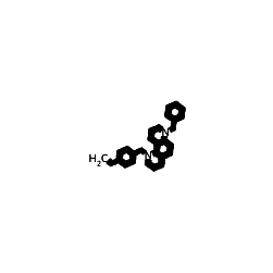 C=Cc1ccc(C[n+]2cccc3ccc4c(ccc[n+]4Cc4ccccc4)c32)cc1